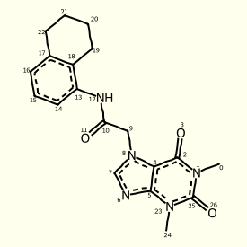 Cn1c(=O)c2c(ncn2CC(=O)Nc2cccc3c2CCCC3)n(C)c1=O